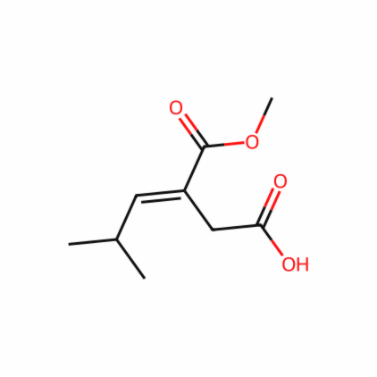 COC(=O)/C(=C/C(C)C)CC(=O)O